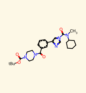 CN(C(=O)n1cnc(-c2cccc(C(=O)N3CCN(C(=O)OC(C)(C)C)CC3)c2)c1)C1CCCCC1